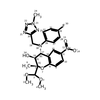 COC(OC)[C@@]1(C)Oc2ccc([N+](=O)[O-])cc2[C@@H](N(Cc2nnn(C)n2)c2ccc(F)cc2)[C@@H]1O